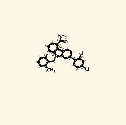 Cc1cccc(C)c1Cn1c2cc(-c3ccc(Cl)cc3Cl)c[c]c2c2c(C(N)=O)cccc21